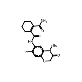 CCCCN1C(=O)COc2cc(Br)c(NC(=O)C3=C(C(N)=O)CCCC3)cc21